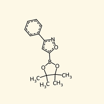 CC1(C)OB(c2cc(-c3ccccc3)no2)OC1(C)C